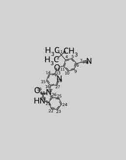 CC(C)(C)c1cc(C#N)ccc1Oc1ccc(-n2c(=O)[nH]c3ccccc32)cn1